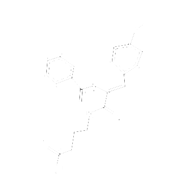 COc1ccc(C=C(NC(=O)c2ccccc2)C(=O)NCCCC(=O)O)cc1